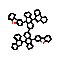 c1ccc2c(c1)cc(-c1c3ccccc3c(-c3ccc4c(c3)oc3ccccc34)c3cc(-c4ccc5c(-c6cc7ccccc7c7ccccc67)c6ccccc6c(-c6ccc7oc8ccccc8c7c6)c5c4)ccc13)c1ccccc12